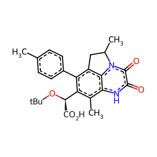 Cc1ccc(-c2c([C@H](OC(C)(C)C)C(=O)O)c(C)c3[nH]c(=O)c(=O)n4c3c2CC4C)cc1